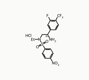 CCN(C[C@H](N)c1ccc(C(F)(F)F)c(F)c1)S(=O)(=O)c1ccc([N+](=O)[O-])cc1.Cl